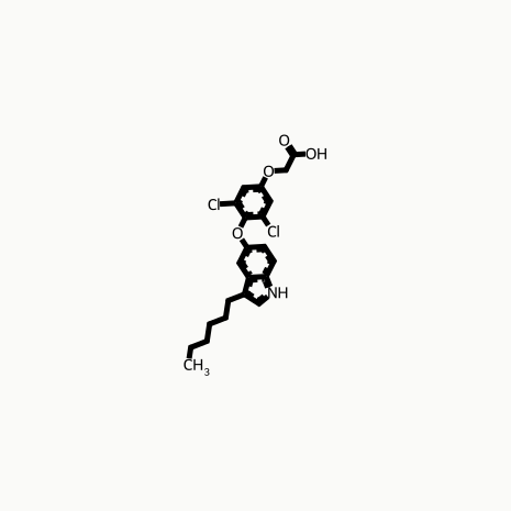 CCCCCCc1c[nH]c2ccc(Oc3c(Cl)cc(OCC(=O)O)cc3Cl)cc12